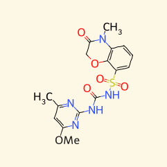 COc1cc(C)nc(NC(=O)NS(=O)(=O)c2cccc3c2OCC(=O)N3C)n1